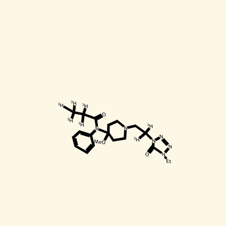 [2H]C([2H])(CN1CCC(OC)(N(C(=O)C([2H])([2H])C([2H])([2H])[2H])c2ccccc2)CC1)n1nnn(CC)c1=O